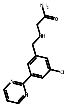 NC(=O)CNCc1cc(Cl)cc(-c2ncccn2)c1